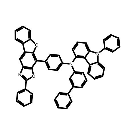 c1ccc(-c2cccc(N(c3ccc(-c4c5oc(-c6ccccc6)nc5cc5c4oc4ccccc45)cc3)c3cccc4c3c3ccccc3n4-c3ccccc3)c2)cc1